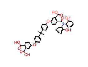 CC(C)(c1ccc(Oc2ccc(C(=O)O)c(C(=O)O)c2)cc1)c1ccc(Oc2ccc(C(=O)N(c3ccccc3O)c3ccccc3O)c(C(=O)O)c2)cc1